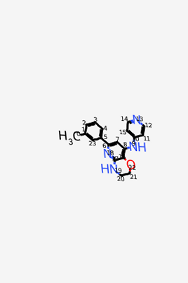 Cc1cccc(-c2cc(Nc3ccncc3)c3c(n2)NCCO3)c1